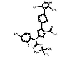 Cc1cc(O)ccc1N(C(=O)OC(C)(C)C)c1cc(-c2ccc(-c3c(C)n[nH]c3C)cc2)n(C(=O)O)n1